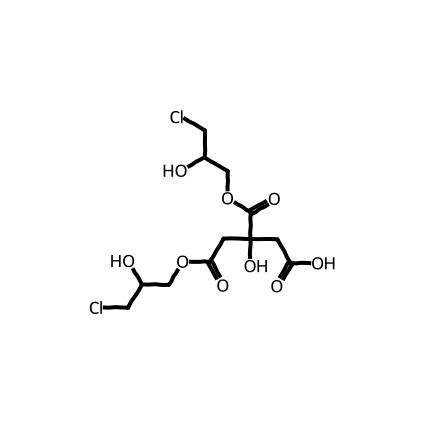 O=C(O)CC(O)(CC(=O)OCC(O)CCl)C(=O)OCC(O)CCl